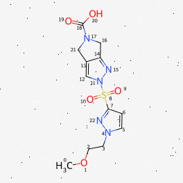 COCCn1ccc(S(=O)(=O)n2cc3c(n2)CN(C(=O)O)C3)n1